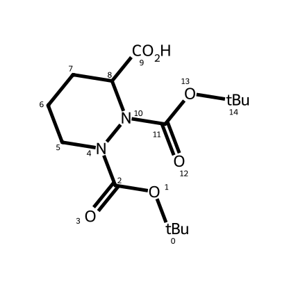 CC(C)(C)OC(=O)N1CCCC(C(=O)O)N1C(=O)OC(C)(C)C